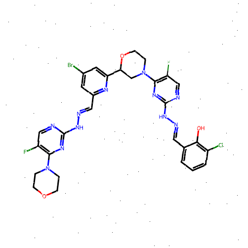 Oc1c(Cl)cccc1/C=N/Nc1ncc(F)c(N2CCOC(c3cc(Br)cc(/C=N/Nc4ncc(F)c(N5CCOCC5)n4)n3)C2)n1